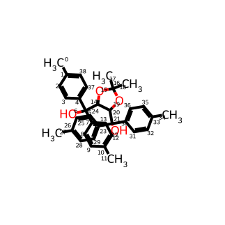 Cc1ccc(C(O)(c2ccc(C)cc2)C2OC(C)(C)OC2C(O)(c2ccc(C)cc2)c2ccc(C)cc2)cc1